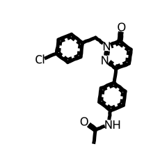 CC(=O)Nc1ccc(-c2ccc(=O)n(Cc3ccc(Cl)cc3)n2)cc1